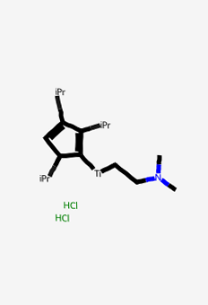 CC(C)C1=CC(C(C)C)[C]([Ti][CH2]CN(C)C)=C1C(C)C.Cl.Cl